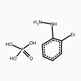 CCc1ccccc1NN.O=P(O)(O)O